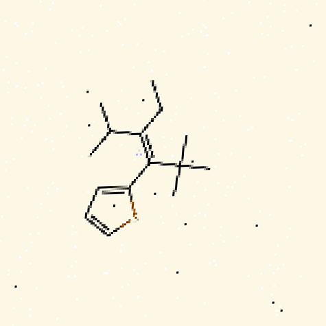 CC/C(=C(/c1cccs1)C(C)(C)C)C(C)C